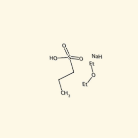 CCCS(=O)(=O)O.CCOCC.[NaH]